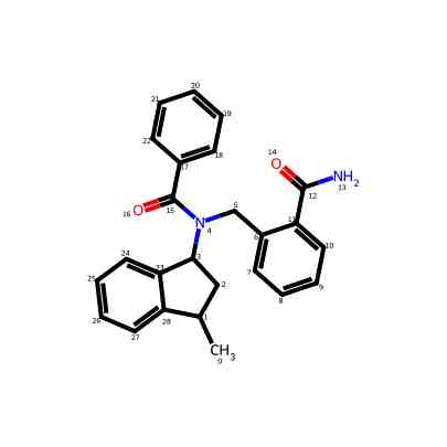 CC1CC(N(Cc2ccccc2C(N)=O)C(=O)c2ccccc2)c2ccccc21